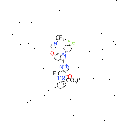 CC1CC2CC(C1)C(NC(=O)c1cnc(-c3cn(C4CCC(F)(F)CC4)c4cc(O[C@@H]5CCN(CC(F)(F)F)C5)ccc34)nc1C(F)(F)F)(C(=O)O)C2